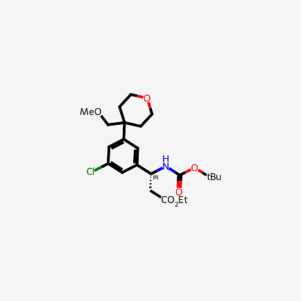 CCOC(=O)C[C@@H](NC(=O)OC(C)(C)C)c1cc(Cl)cc(C2(COC)CCOCC2)c1